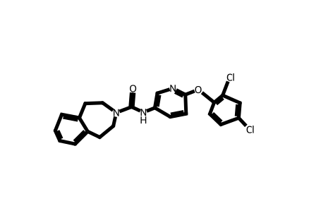 O=C(Nc1ccc(Oc2ccc(Cl)cc2Cl)nc1)N1CCc2ccccc2CC1